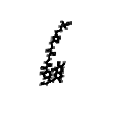 C#CCN(Cc1cc2c(=O)[nH]c(C)nc2cc1C)c1ccc(C(=O)NCCCC(=O)NCCc2cn(CCC[Si](C)(C)O)nn2)c(F)c1